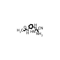 C=CC(=O)Nc1cccc(NC(=N)/C(C#N)=C\N)c1